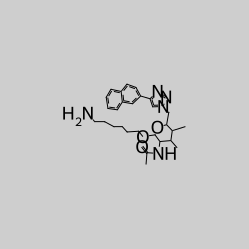 CC(=O)NC1C(OCCCCCCN)OC(Cn2cc(-c3ccc4ccccc4c3)nn2)C(C)C1C